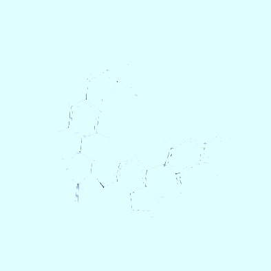 Cc1cc(C)n(C)c(=O)c1-c1ccc(C[C@H](NC(=O)c2c(F)cc(N[C@H](C)C(F)(F)F)cc2F)C(=O)O)c2c1COC2